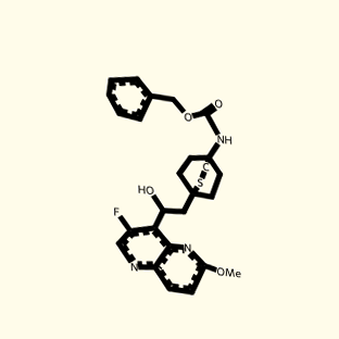 COc1ccc2ncc(F)c(C(O)CC34CCC(NC(=O)OCc5ccccc5)(CC3)CS4)c2n1